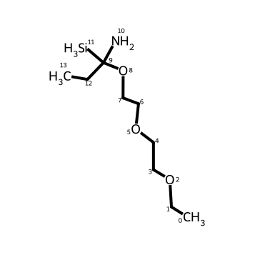 CCOCCOCCOC(N)([SiH3])CC